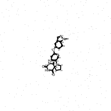 Cn1ncc2cc(Oc3ccc(N4CCCC45C(=O)NC(=O)NC5=O)cn3)ccc21